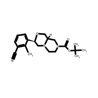 Cc1c(C#N)cccc1[C@@H]1CN2CCN(C(=O)OC(C)(C)C)C[C@H]2CO1